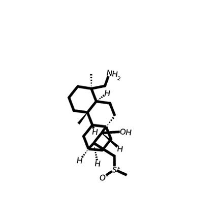 C[S+]([O-])C[C@H]1[C@H]2CC[C@@]3(CC[C@@H]4[C@](C)(CN)CCC[C@@]4(C)[C@@H]3C2)[C@@H]1O